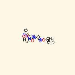 Cn1c2nc(/C(=N\O)c3ccccc3)sc2c2cnn(Cc3cccc4c3cnn4COCC[Si](C)(C)C)c(=O)c21